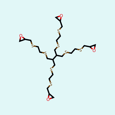 C(CSCC(CSCCSCC1CO1)C(CSCCSCC1CO1)CSCCSCC1CO1)SCC1CO1